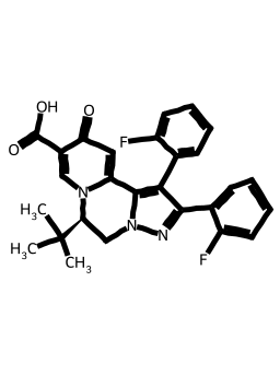 CC(C)(C)[C@@H]1Cn2nc(-c3ccccc3F)c(-c3ccccc3F)c2-c2cc(=O)c(C(=O)O)cn21